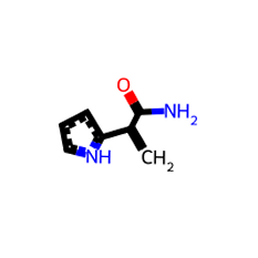 C=C(C(N)=O)c1ccc[nH]1